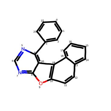 c1ccc(-c2ncnc3oc4ccc5ccccc5c4c23)cc1